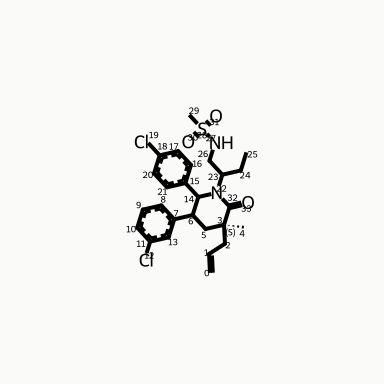 C=CC[C@@]1(C)CC(c2cccc(Cl)c2)C(c2ccc(Cl)cc2)N(C(CC)CNS(C)(=O)=O)C1=O